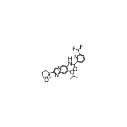 CC(C)Oc1cc2nc(C34CCC(C3)OC4)cn2cc1NC(=O)c1cccc(C(F)F)n1